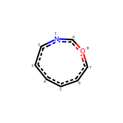 [c]1ncccccco1